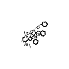 Nc1ncnn2c([C@]3(O)O[C@H](COCc4ccccc4)[C@](O)(Cc4ccccc4)[C@]3(O)Cc3ccccc3)ccc12